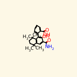 CC1(C)CCC(C)(C)c2c1cc(C(N)=O)c(O)c2-c1ccccc1C(=O)O